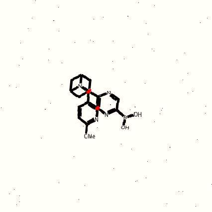 COc1ccc(CN2C3CC2CN(c2cnc(B(O)O)cn2)C3)cn1